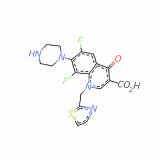 O=C(O)c1cn(Cc2nccs2)c2c(F)c(N3CCNCC3)c(F)cc2c1=O